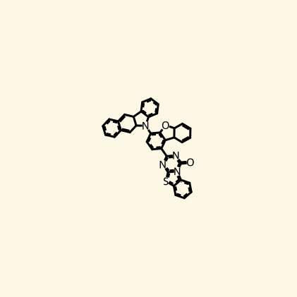 O=c1nc(-c2ccc(N3c4ccccc4C4C=c5ccccc5=CC43)c3c2C2C=CC=CC2O3)nc2sc3ccccc3n12